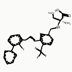 C[C@@](CO)(NCc1ccc(C(F)(F)F)c(/C=C/c2cccc(-c3ccccc3)c2F)c1)C(=O)O